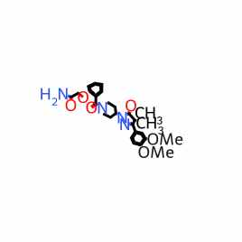 COc1ccc(C2=NN(C3CCN(C(=O)c4ccccc4OCC(N)=O)CC3)C(=O)C2(C)C)cc1OC